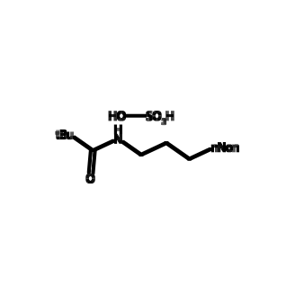 CCCCCCCCCCCCNC(=O)C(C)(C)C.O=S(=O)(O)O